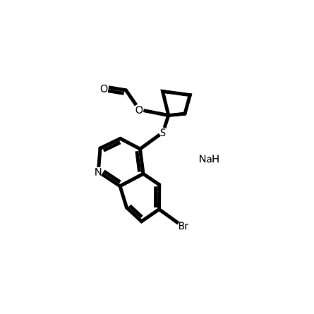 O=COC1(Sc2ccnc3ccc(Br)cc23)CCC1.[NaH]